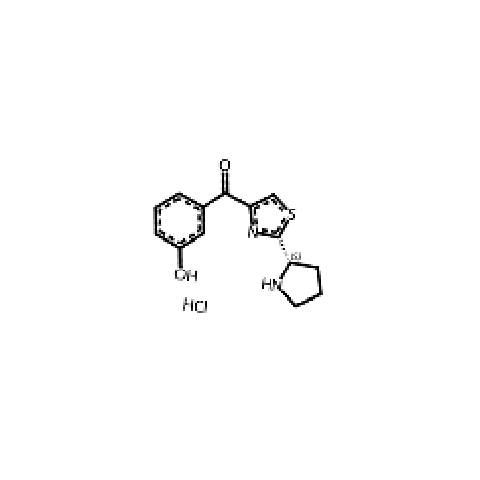 Cl.O=C(c1cccc(O)c1)c1csc([C@@H]2CCCN2)n1